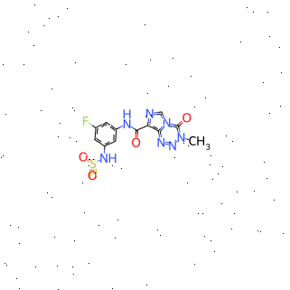 Cn1nnc2c(C(=O)Nc3cc(F)cc(N[SH](=O)=O)c3)ncn2c1=O